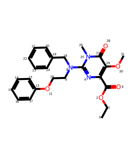 CCOC(=O)c1nc(N(CCOc2ccccc2)Cc2ccccc2)n(C)c(=O)c1OC